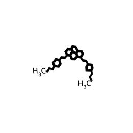 CCCCc1ccc(/C=C/c2ccc3ccc4ccc(/C=C/c5ccc(CCCC)cc5)c5ccc2c3c45)cc1